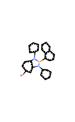 Brc1ccc2c(c1)N(c1ccccc1)P(c1cccc3ccccc13)N2c1ccccc1